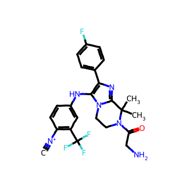 [C-]#[N+]c1ccc(Nc2c(-c3ccc(F)cc3)nc3n2CCN(C(=O)CN)C3(C)C)cc1C(F)(F)F